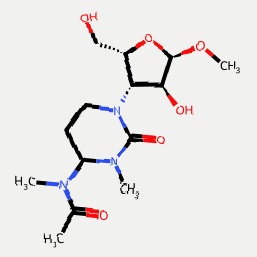 CO[C@@H]1O[C@@H](CO)[C@@H](N2CCC(N(C)C(C)=O)N(C)C2=O)[C@@H]1O